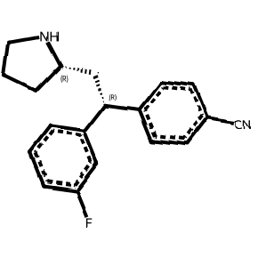 N#Cc1ccc([C@@H]([CH][C@@H]2CCCN2)c2cccc(F)c2)cc1